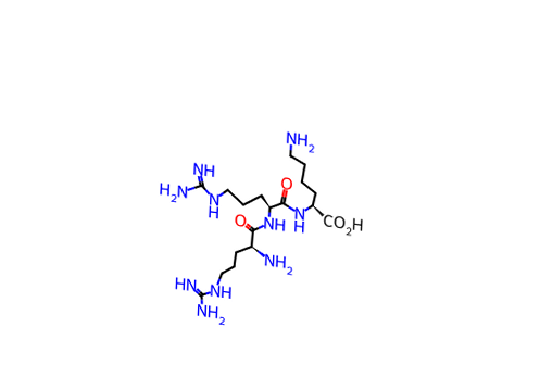 N=C(N)NCCC[C@H](NC(=O)[C@@H](N)CCCNC(=N)N)C(=O)N[C@@H](CCCCN)C(=O)O